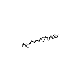 C#CCCCCCOCOCCCC